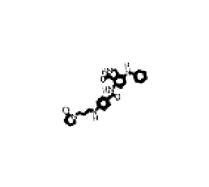 O=C(Nc1ccc(Nc2ccccc2)c2c1C(=O)NC2)c1ccc(NCCCN2CCCC2=O)cc1